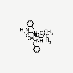 CC(C)(C)CC(=O)N[C@@H](Cc1ccccc1)C(=O)N[C@@H](Cc1ccccc1)C(N)=O